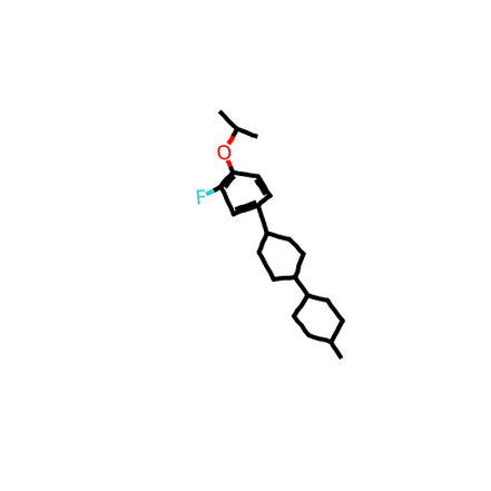 CC1CCC(C2CCC(c3ccc(OC(C)C)c(F)c3)CC2)CC1